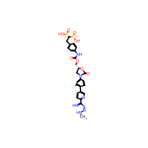 CN/N=N\C(=N)c1ccc(-c2ccc(N3C[C@H](COC(=O)Nc4ccc(CC([PH](=O)O)[PH](=O)O)cc4)OC3=O)cc2F)cn1